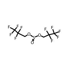 O=S(OCC(F)(F)C(F)(F)F)OCC(F)(F)C(F)(F)F